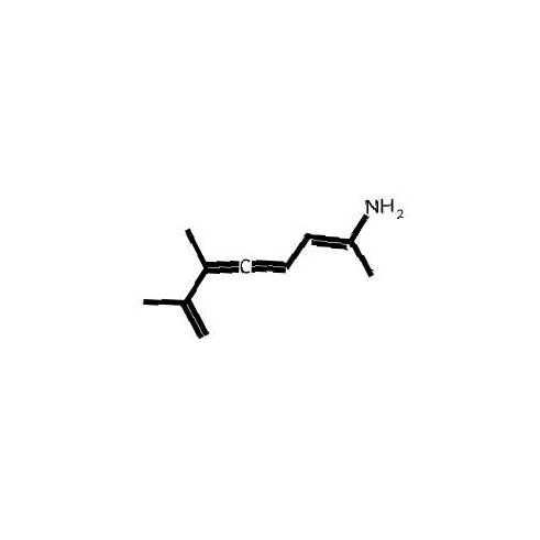 C=C(C)C(C)=C=C/C=C(\C)N